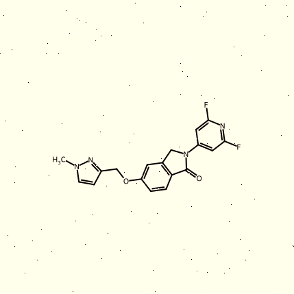 Cn1ccc(COc2ccc3c(c2)CN(c2cc(F)nc(F)c2)C3=O)n1